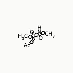 CC(=O)c1ccc(CN2C3=CC4C(=O)c5cc(C)ccc5NC4C=C3C(=O)C3C=C(C)C=CC32)cc1